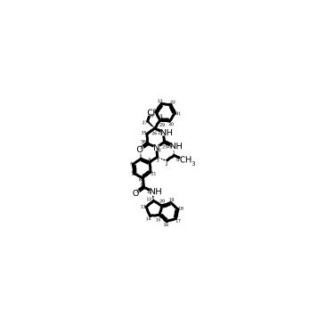 CCC[C@H](c1cccc(C(=O)N[C@H]2CCc3ccccc32)c1)N1C(=N)N[C@@](CC)(c2ccccc2)CC1=O